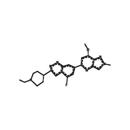 CCN1CCC(c2cc3c(F)cc(-c4cc(OC)c5nn(C)cc5n4)cc3nn2)CC1